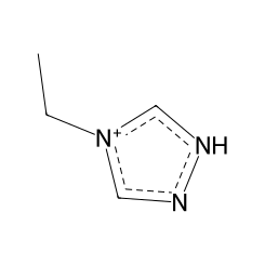 CC[n+]1cn[nH]c1